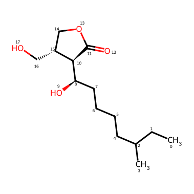 CCC(C)CCCC[C@@H](O)[C@@H]1C(=O)OC[C@H]1CO